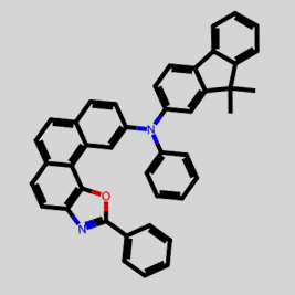 CC1(C)c2ccccc2-c2ccc(N(c3ccccc3)c3ccc4ccc5ccc6nc(-c7ccccc7)oc6c5c4c3)cc21